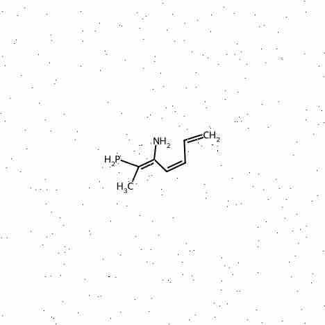 C=C/C=C\C(N)=C(/C)P